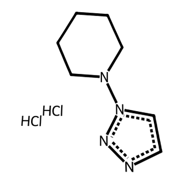 Cl.Cl.c1cn(N2CCCCC2)nn1